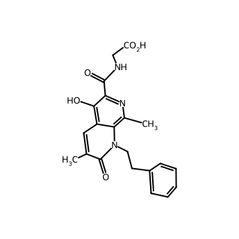 Cc1cc2c(O)c(C(=O)NCC(=O)O)nc(C)c2n(CCc2ccccc2)c1=O